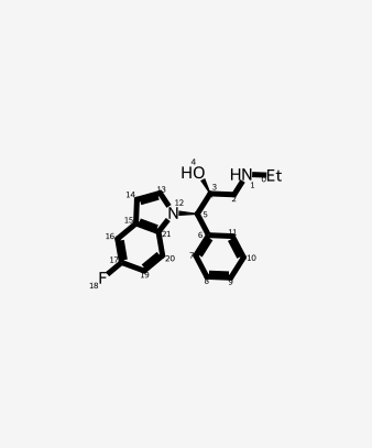 CCNC[C@H](O)[C@@H](c1ccccc1)n1ccc2cc(F)ccc21